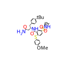 COc1ccc(Sc2ccc(S(=O)(=O)NC(C)C)cc2C(=O)N[C@@H](CC(N)=O)Cc2ccc(C(C)(C)C)cc2)cc1